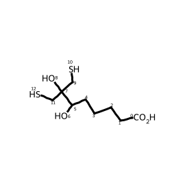 O=C(O)CCCCC(O)C(O)(CS)CS